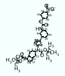 CC(C)(C)OC(=O)N(c1ccc2c(cnn2C(=O)OC(C)(C)C)c1)c1nnc(-c2cccc(NC(=O)Oc3ccc([N+](=O)[O-])cc3)c2)s1